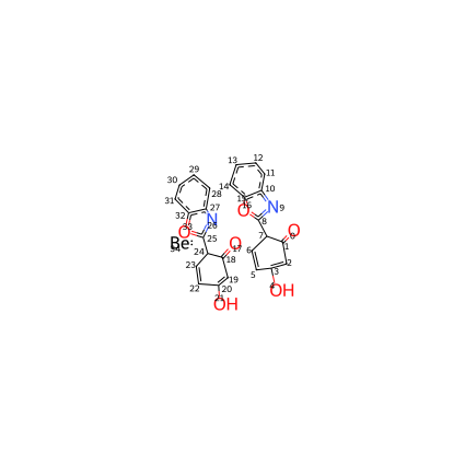 O=C1C=C(O)C=CC1c1nc2ccccc2o1.O=C1C=C(O)C=CC1c1nc2ccccc2o1.[Be]